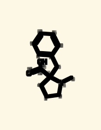 CN1CCCC1(Cc1ccccc1)C(=O)O